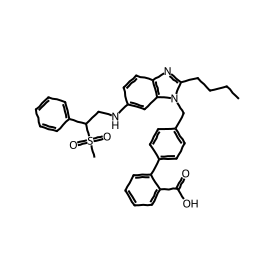 CCCCc1nc2ccc(NCC(c3ccccc3)S(C)(=O)=O)cc2n1Cc1ccc(-c2ccccc2C(=O)O)cc1